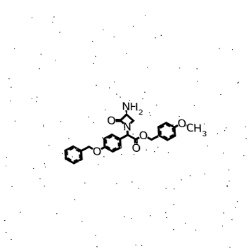 COc1ccc(COC(=O)C(c2ccc(OCc3ccccc3)cc2)N2C[C@H](N)C2=O)cc1